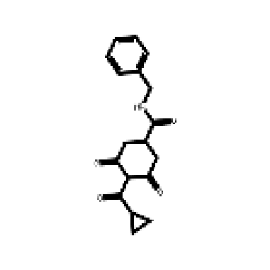 O=C(NCc1ccccc1)C1CC(=O)C(C(=O)C2CC2)C(=O)C1